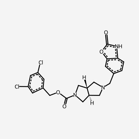 O=C(OCc1cc(Cl)cc(Cl)c1)N1C[C@@H]2CN(Cc3ccc4[nH]c(=O)oc4c3)C[C@H]2C1